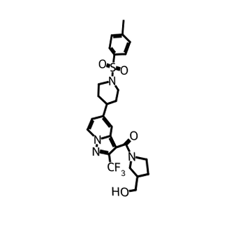 Cc1ccc(S(=O)(=O)N2CCC(c3ccn4nc(C(F)(F)F)c(C(=O)N5CCC(CO)C5)c4c3)CC2)cc1